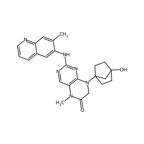 Cc1cc2ncccc2cc1Nc1ncc2c(n1)N(C13CCC(O)(CC1)C3)CC(=O)N2C